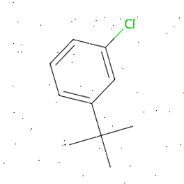 [CH2]C(C)(C)c1cccc(Cl)c1